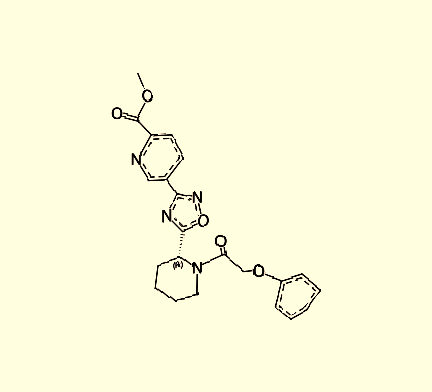 COC(=O)c1ccc(-c2noc([C@H]3CCCCN3C(=O)COc3ccccc3)n2)cn1